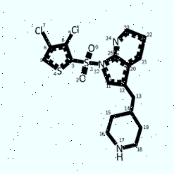 O=S(=O)(c1scc(Cl)c1Cl)n1cc(CC2CCNCC2)c2cccnc21